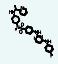 CC(NC1CCC(N(C)S(=O)(=O)c2ccc(Nc3nccc(Nc4ccc(F)cc4)n3)cc2)CC1)c1ccccn1